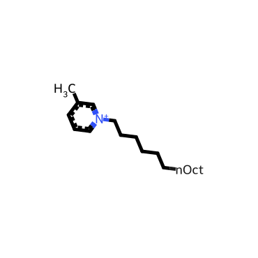 CCCCCCCCCCCCCC[n+]1cccc(C)c1